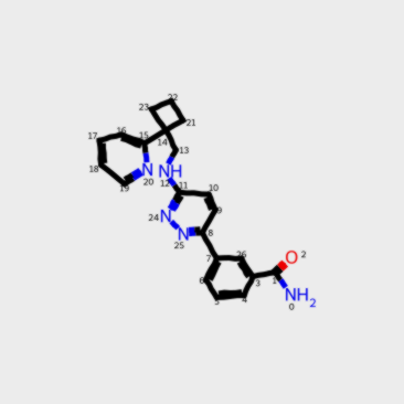 NC(=O)c1cccc(-c2ccc(NCC3(c4ccccn4)CCC3)nn2)c1